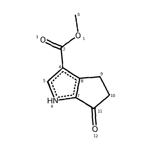 COC(=O)c1c[nH]c2c1CCC2=O